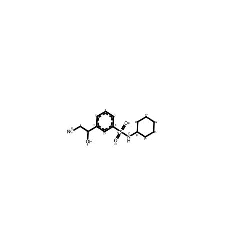 N#CCC(O)c1cccc(S(=O)(=O)NC2CCCCC2)c1